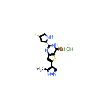 Cc1[nH]ncc1-c1cc2nc([C@@H]3C[C@@H](F)CN3)[nH]c(=O)c2s1.Cl.Cl